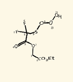 CCOC(=O)COC(=O)C(F)(F)SOOO